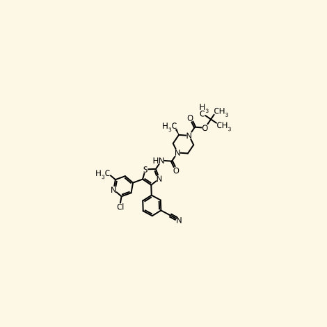 Cc1cc(-c2sc(NC(=O)N3CCN(C(=O)OC(C)(C)C)[C@H](C)C3)nc2-c2cccc(C#N)c2)cc(Cl)n1